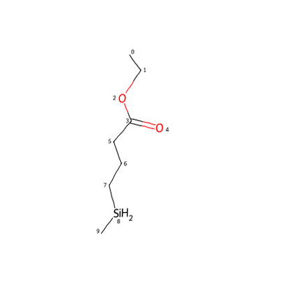 CCOC(=O)CCC[SiH2]C